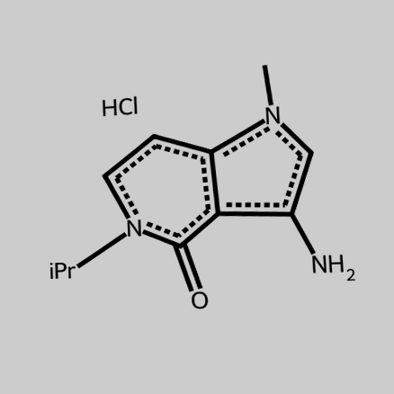 CC(C)n1ccc2c(c(N)cn2C)c1=O.Cl